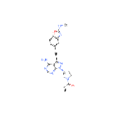 C=CC(=O)N1CC[C@H](n2nc(C#Cc3ccc4oc(NCC)nc4c3)c3c(N)ncnc32)C1